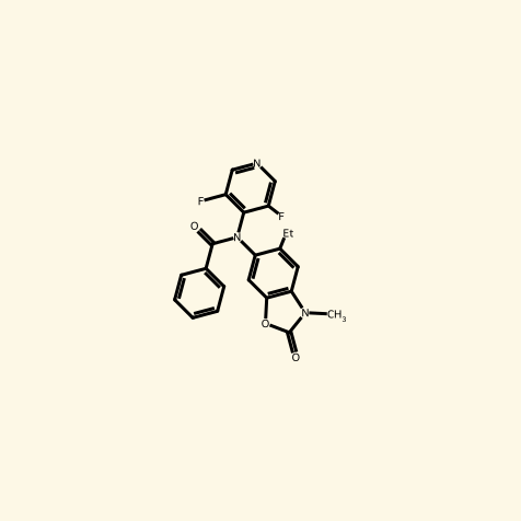 CCc1cc2c(cc1N(C(=O)c1ccccc1)c1c(F)cncc1F)oc(=O)n2C